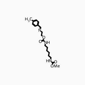 COC(=O)NCCCCCCNC(=O)OCC/N=C/c1ccc(C)cc1